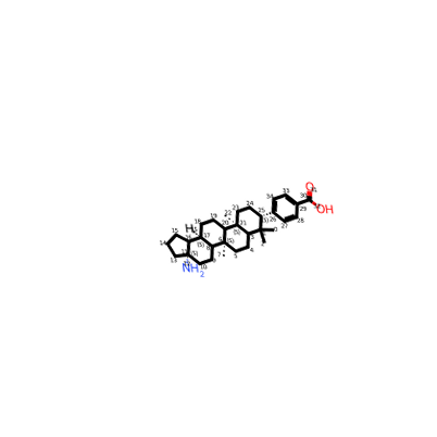 CC1(C)C2CC[C@@]3(C)C4CC[C@@]5(N)CCCC5[C@H]4CCC3[C@@]2(C)CC[C@@H]1c1ccc(C(=O)O)cc1